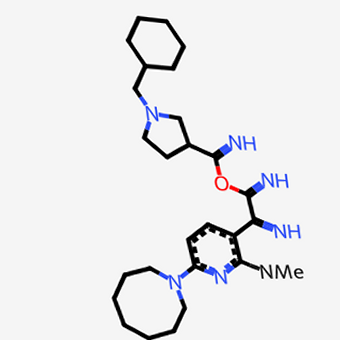 CNc1nc(N2CCCCCCC2)ccc1C(=N)C(=N)OC(=N)C1CCN(CC2CCCCC2)C1